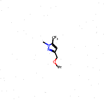 CC(C)OCc1cc(C(F)(F)F)n(C)n1